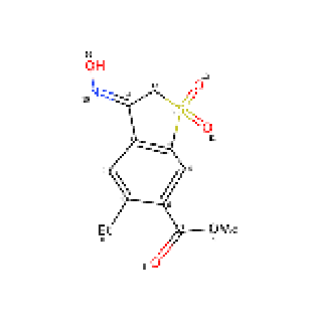 CCc1cc2c(cc1C(=O)OC)S(=O)(=O)CC2=NO